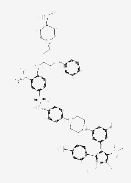 Cc1c(S(C)(=O)=O)c(-c2cc(F)cc(N3CCN(c4ccc(NS(=O)(=O)c5ccc(N[C@H](CCN6CCC(NC(C)C)CC6)CSc6ccccc6)c([S+](N)[O-])c5)cc4)CC3)c2)c(-c2ccc(Cl)cc2)n1C(C)C